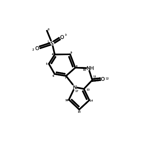 CS(=O)(=O)c1ccc2c(c1)[nH]c(=O)c1cccn12